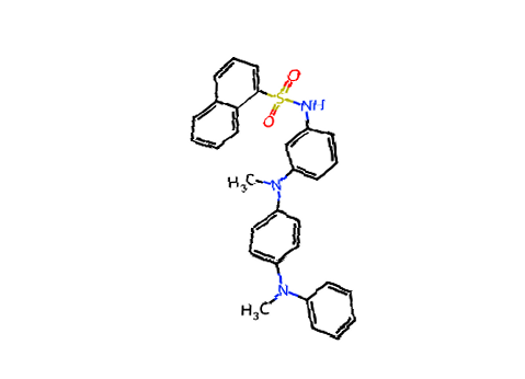 CN(c1ccccc1)c1ccc(N(C)c2cccc(NS(=O)(=O)c3cccc4ccccc34)c2)cc1